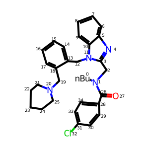 CCCCN(Cc1nc2ccccc2n1Cc1ccccc1CN1CCCCC1)C(=O)c1ccc(Cl)cc1